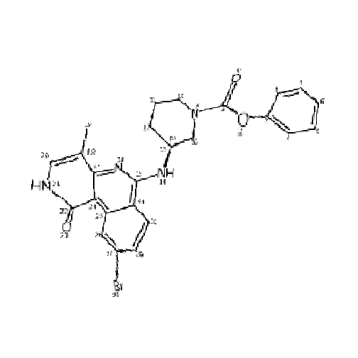 O=C(Oc1ccccc1)N1CCC[C@H](Nc2nc3c(I)c[nH]c(=O)c3c3cc(Br)ccc23)C1